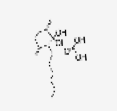 C=C1CCC(=C)C(O)(O)C1CCCCCC.O=C(O)O